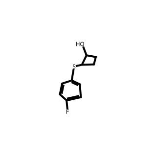 OC1CCC1Sc1ccc(F)cc1